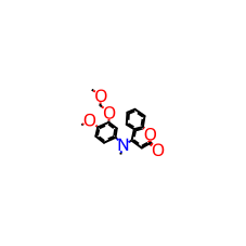 COCOc1cc(N(C)c2cc(=O)oc3ccccc23)ccc1OC